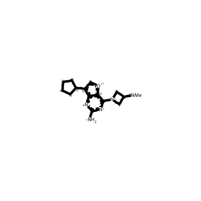 CNC1CN(c2nc(N)nc3c(C4CCCC4)coc23)C1